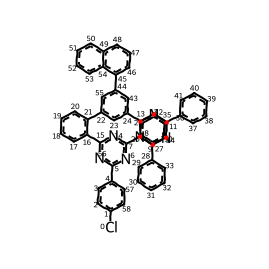 Clc1ccc(-c2nc(-c3ccccc3)nc(-c3ccccc3-c3cc(-c4nc(-c5ccccc5)nc(-c5ccccc5)n4)cc(-c4cccc5ccccc45)c3)n2)cc1